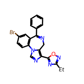 CCc1noc(-c2ncn3c2CN=C(c2ccccc2)c2cc(Br)ccc2-3)n1